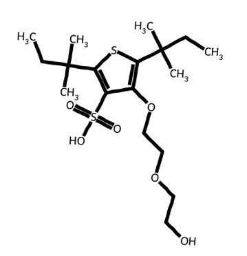 CCC(C)(C)c1sc(C(C)(C)CC)c(S(=O)(=O)O)c1OCCOCCO